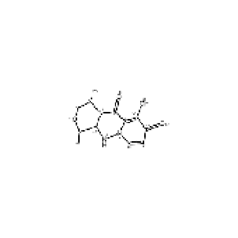 CC1OC[C@H](C)N2C(=O)c3c(O)c(=O)ccn3NC12